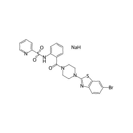 O=C(c1ccccc1NS(=O)(=O)c1ccccn1)N1CCN(c2nc3ccc(Br)cc3s2)CC1.[NaH]